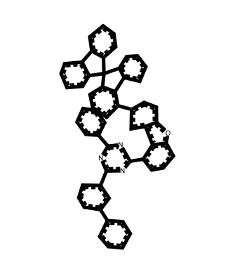 c1ccc(-c2cccc(-c3nc(-c4ccccc4)nc(-c4cccc5oc6ccc(-c7cccc8c7-c7ccccc7C87c8ccccc8-c8ccccc87)cc6c45)n3)c2)cc1